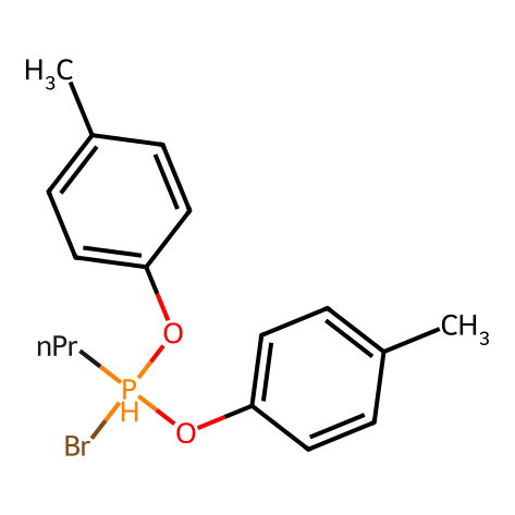 CCC[PH](Br)(Oc1ccc(C)cc1)Oc1ccc(C)cc1